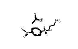 CC(=O)O.NCCNS(=O)(=O)c1ccc([N+](=O)[O-])cc1